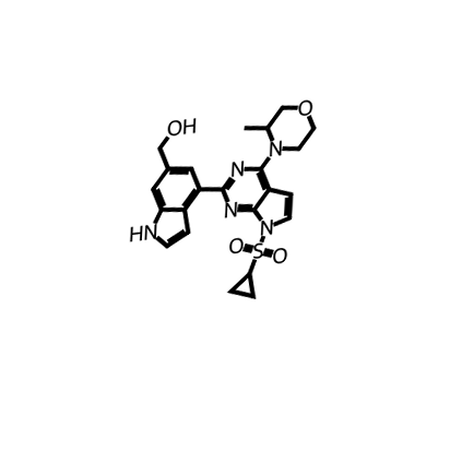 CC1COCCN1c1nc(-c2cc(CO)cc3[nH]ccc23)nc2c1ccn2S(=O)(=O)C1CC1